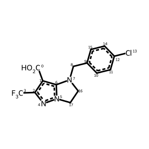 O=C(O)c1c(C(F)(F)F)nn2c1N(Cc1ccc(Cl)cc1)CC2